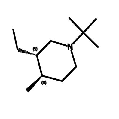 CC[C@@H]1CN(C(C)(C)C)CC[C@H]1C